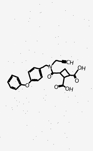 C#CCN(Cc1ccc(Oc2ccccc2)cc1)C(=O)C1CC(C(=O)O)C1C(=O)O